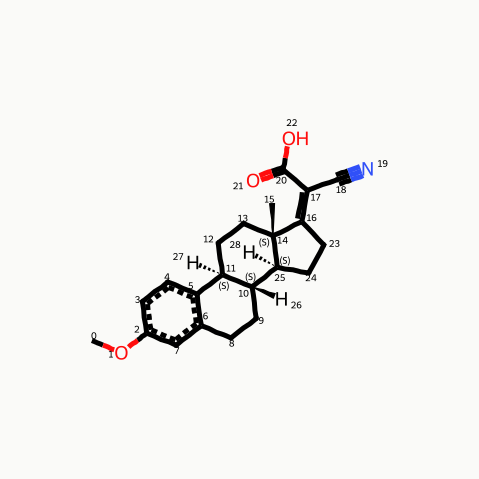 COc1ccc2c(c1)CC[C@@H]1[C@@H]2CC[C@]2(C)C(=C(C#N)C(=O)O)CC[C@@H]12